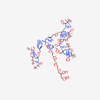 CC(C)(Br)C(=O)NCC(CNC(=O)C(C)(C)Br)(CNC(=O)C(C)(C)Br)COCc1cn(CC(COCCOCCOCCOCCOCC(O)CO)(Cn2cc(COCC(CNC(=O)C(C)(C)Br)(CNC(=O)C(C)(C)Br)CNC(=O)C(C)(C)Br)nn2)Cn2cc(COCC(CNC(=O)C(C)(C)Br)(CNC(=O)C(C)(C)Br)CNC(=O)C(C)(C)Br)nn2)nn1